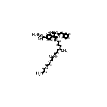 CN(CCCNC(=O)COCCOCCN)CCCNc1nc(Cc2ccccc2)nc2[nH]c3cc(-c4nnn(C)n4)ccc3c12